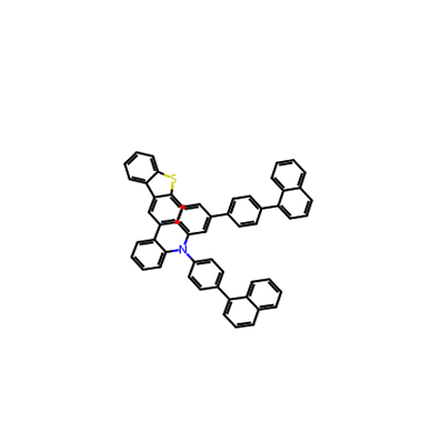 c1cc(-c2ccc(-c3cccc4ccccc34)cc2)cc(N(c2ccc(-c3cccc4ccccc34)cc2)c2ccccc2-c2ccc3sc4ccccc4c3c2)c1